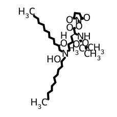 CCCCCCCCCC[C@@H](O)CN(CCCC[C@H](NC(=O)OC(C)(C)C)C(=O)ON1C(=O)CCC1=O)C[C@H](O)CCCCCCCCCC